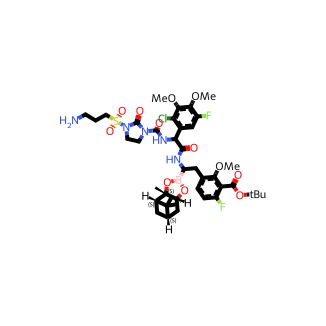 COc1c(F)cc(C(NC(=O)N2CCN(S(=O)(=O)CCCN)C2=O)C(=O)NC(Cc2ccc(F)c(C(=O)OC(C)(C)C)c2OC)B2O[C@@H]3C[C@@H]4C[C@@H](C4(C)C)[C@]3(C)O2)c(Cl)c1OC